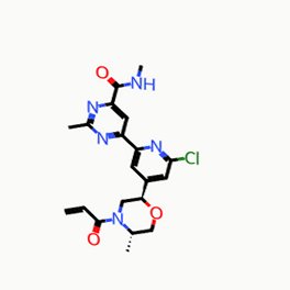 C=CC(=O)N1C[C@@H](c2cc(Cl)nc(-c3cc(C(=O)NC)nc(C)n3)c2)OC[C@@H]1C